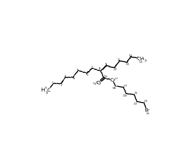 CCCCCCCCC(CCCCCC)C(=O)OCCCCCCBr